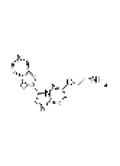 NCCOc1ccc2ncc(-c3cc4cnccc4o3)n2n1